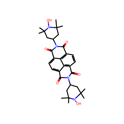 CC1(C)CC(N2C(=O)c3ccc4c5c(ccc(c35)C2=O)C(=O)N(C2CC(C)(C)N(O)C(C)(C)C2)C4=O)CC(C)(C)N1O